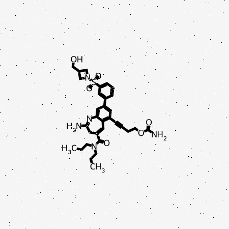 CCCN(CCC)C(=O)C1=Cc2c(C#CCCOC(N)=O)cc(-c3cccc(S(=O)(=O)N4CC(CO)C4)c3)cc2N=C(N)C1